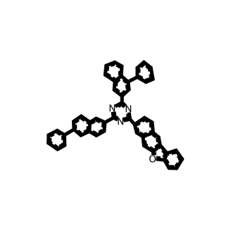 c1ccc(-c2ccc3cc(-c4nc(-c5ccc6cc7c(cc6c5)oc5ccccc57)nc(-c5cc(-c6ccccc6)c6ccccc6c5)n4)ccc3c2)cc1